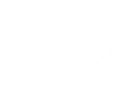 CCCCCCCC/C=C\CCCCCCCC(=O)Oc1ccc2c(c1)C(=O)OC2=O.[Cu]